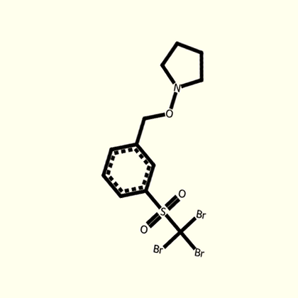 O=S(=O)(c1cccc(CON2CCCC2)c1)C(Br)(Br)Br